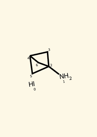 I.NC12CC(C1)C2